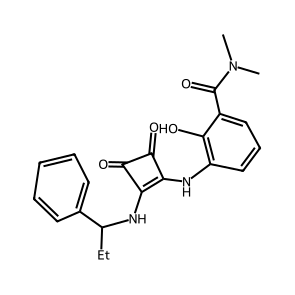 CCC(Nc1c(Nc2cccc(C(=O)N(C)C)c2O)c(=O)c1=O)c1ccccc1